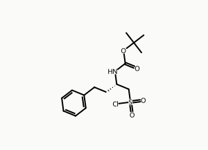 CC(C)(C)OC(=O)N[C@@H](CCc1ccccc1)CS(=O)(=O)Cl